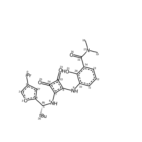 CC(C)c1coc([C@H](Nc2c(Nc3cccc(C(=O)N(C)C)c3O)c(=O)c2=O)C(C)(C)C)c1